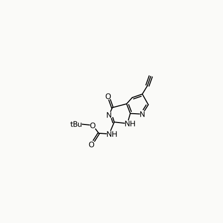 C#Cc1cnc2[nH]c(NC(=O)OC(C)(C)C)nc(=O)c2c1